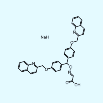 O=C(O)C=NOC(c1ccc(OCc2ccc3ccccc3n2)cc1)c1ccc(OCc2ccc3ccccc3n2)cc1.[NaH]